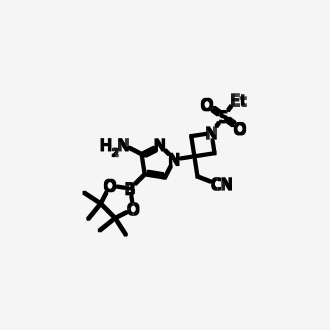 CCS(=O)(=O)N1CC(CC#N)(n2cc(B3OC(C)(C)C(C)(C)O3)c(N)n2)C1